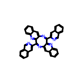 c1ccc2cc(/C3=N/c4cc5ccccc5nc4/C(c4cc5ccccc5cn4)=N\c4cc5ccccc5nc43)ncc2c1